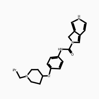 CC(C)CN1CCC(Oc2ccc(NC(=O)N3C=C4C=CNC=C4C3)cc2)CC1